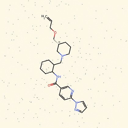 C=CCOC[C@@H]1CCCN(CC2CCCCC2NC(=O)c2ccc(-n3cccn3)nc2)C1